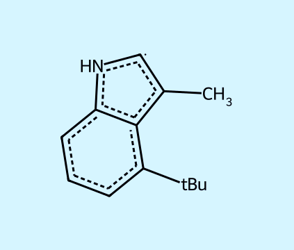 Cc1[c][nH]c2cccc(C(C)(C)C)c12